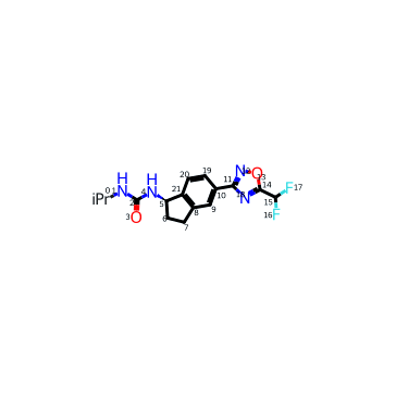 CC(C)NC(=O)N[C@@H]1CCc2cc(-c3noc(C(F)F)n3)ccc21